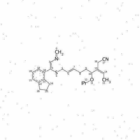 C=N/C=C(\SC/C=C/CCC(OC(C)C)/C(=C\C)CC#N)c1cccc2c1CCC2